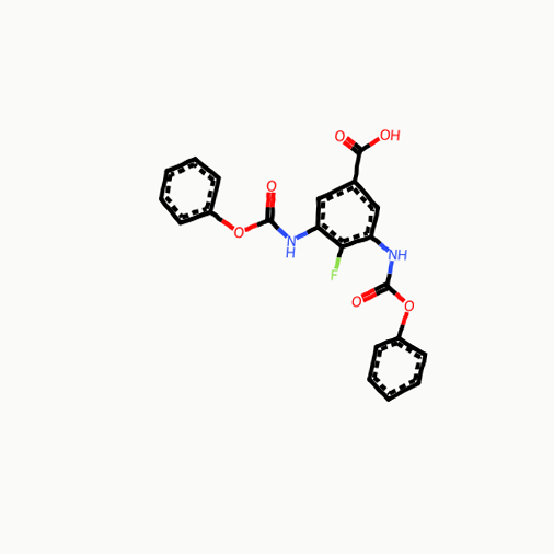 O=C(Nc1cc(C(=O)O)cc(NC(=O)Oc2ccccc2)c1F)Oc1ccccc1